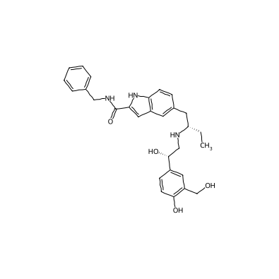 CC[C@@H](Cc1ccc2[nH]c(C(=O)NCc3ccccc3)cc2c1)NC[C@@H](O)c1ccc(O)c(CO)c1